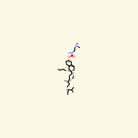 CCCC[C@H]1[C@H]([C@@H]2CC[C@H]([C@H](C)CC[C@@H](CC)C(C)C)C2)CC=C2C[C@@H](OC(=O)NCCN(C)C)CC[C@@]21C